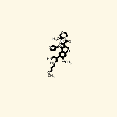 COCCCN/C=C(\C=N)c1cc2c(cc1OC)OCc1c(C(=O)N3CCOCC3(C)C)nn(-c3ccsc3)c1-2